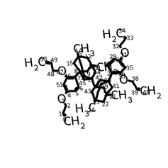 C=CCOc1ccc(C23CC4(C)CC(C)(C2)CC(C25CC6(C)CC(C)(CC(c7ccc(OCC=C)cc7OCC=C)(C6)C2)C5)(C4)C3)c(OCC=C)c1